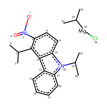 CC(C)c1c([N+](=O)[O-])ccc2c1c1ccccc1n2C(C)C.C[CH](C)[Mg][Cl]